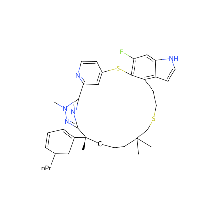 CCCc1cccc([C@@]2(C)CCCC(C)(C)CSCCc3c(c(F)cc4[nH]ccc34)Sc3ccnc(c3)-c3nc2nn3C)c1